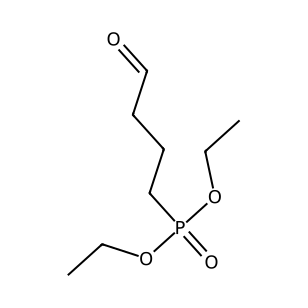 CCOP(=O)(CCCC=O)OCC